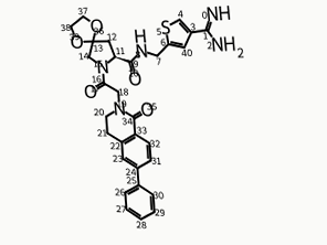 N=C(N)c1csc(CNC(=O)[C@@H]2CC3(CN2C(=O)CN2CCc4cc(-c5ccccc5)ccc4C2=O)OCCO3)c1